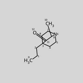 CCCC12CCN(CC1)C(C)C2=O